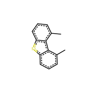 Cc1cccc2sc3cccc(C)c3c12